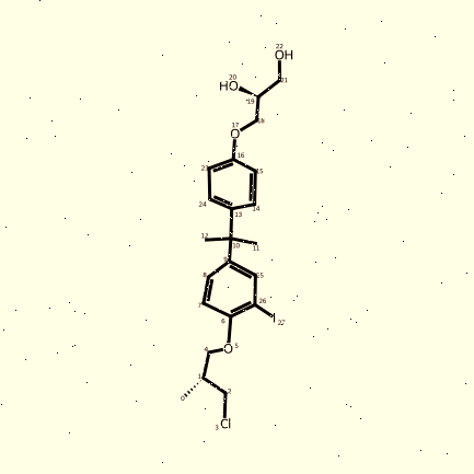 C[C@@H](CCl)COc1ccc(C(C)(C)c2ccc(OC[C@@H](O)CO)cc2)cc1I